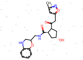 Cc1cc(CC(=O)C2C[C@H](O)C[C@H]2C(=O)NCC2CNc3ccccc3O2)on1